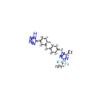 CCCC(F)(F)c1nc(CC)n(Cc2ccc(Cc3cccc(-c4nnn[nH]4)c3)cc2)n1